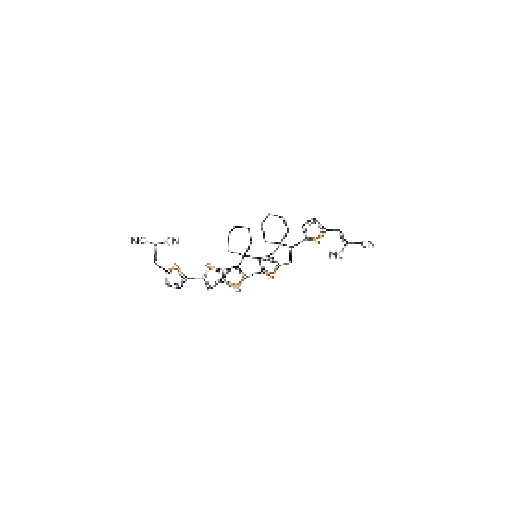 N#CC(C#N)=Cc1ccc(C2=Cc3sc4c(c3C23CCCCC3)C2(CCCCC2)c2c-4sc3cc(-c4ccc(C=C(C#N)C#N)s4)sc23)s1